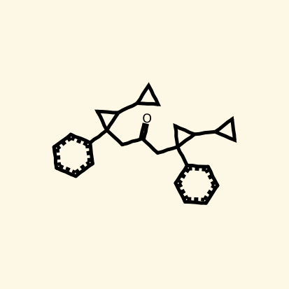 O=C(CC1(c2ccccc2)CC1C1CC1)CC1(c2ccccc2)CC1C1CC1